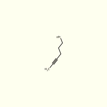 [CH2]C#CCCCCCC